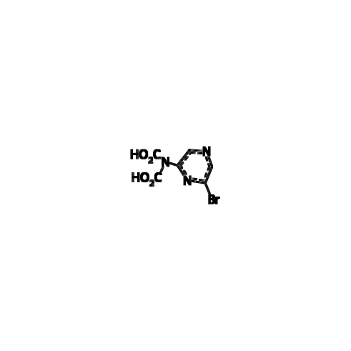 O=C(O)N(C(=O)O)c1cncc(Br)n1